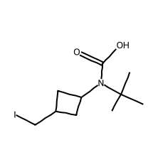 CC(C)(C)N(C(=O)O)C1CC(CI)C1